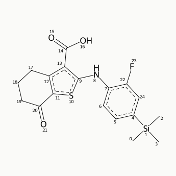 C[Si](C)(C)c1ccc(Nc2sc3c(c2C(=O)O)CCCC3=O)c(F)c1